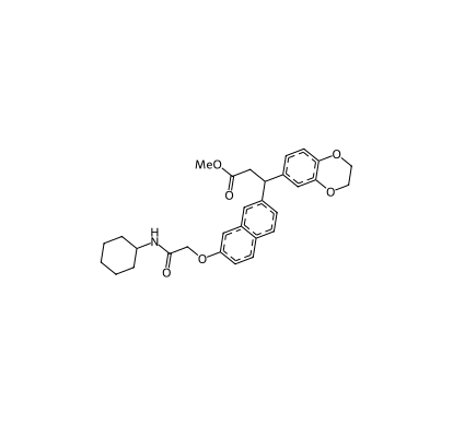 COC(=O)CC(c1ccc2c(c1)OCCO2)c1ccc2ccc(OCC(=O)NC3CCCCC3)cc2c1